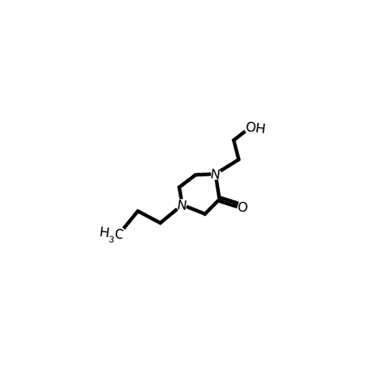 CCCN1CCN(CCO)C(=O)C1